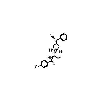 CCC(NC(=O)c1ccc(Cl)cc1)[C@H]1[C@@H]2CC([C@H](C#N)c3ccccc3)C[C@@H]21